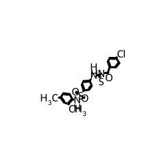 Cc1ccc(NS(=O)(=O)c2ccc(NC(=S)NC(=O)c3ccc(Cl)cc3)cc2)c(C)c1